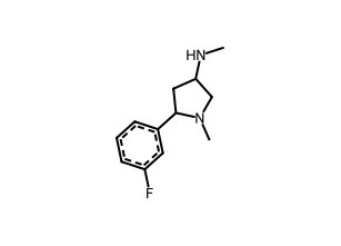 CNC1CC(c2cccc(F)c2)N(C)C1